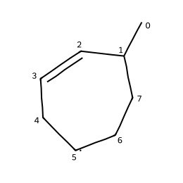 CC1C=CC[CH]CC1